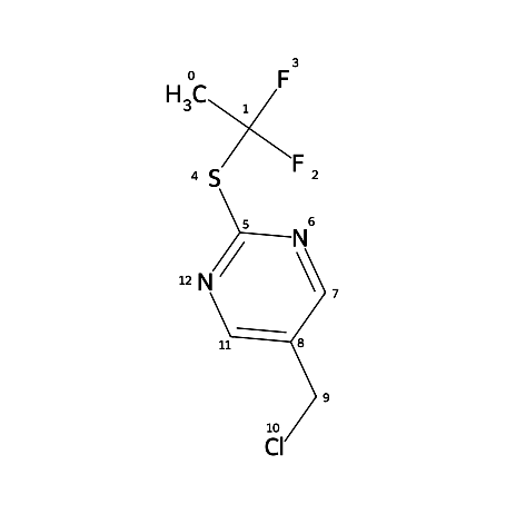 CC(F)(F)Sc1ncc(CCl)cn1